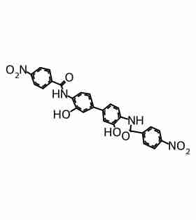 O=C(Nc1ccc(-c2ccc(NC(=O)c3ccc([N+](=O)[O-])cc3)c(O)c2)cc1O)c1ccc([N+](=O)[O-])cc1